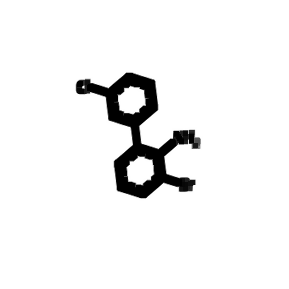 Nc1c(Br)cccc1-c1cccc(Cl)c1